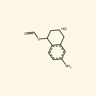 Cl.Nc1ccc2c(c1)CCCC2OC=O